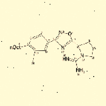 CCCCCCCCc1ccc(-c2noc([C@@H]3CCCN3C(=N)N)n2)cc1C